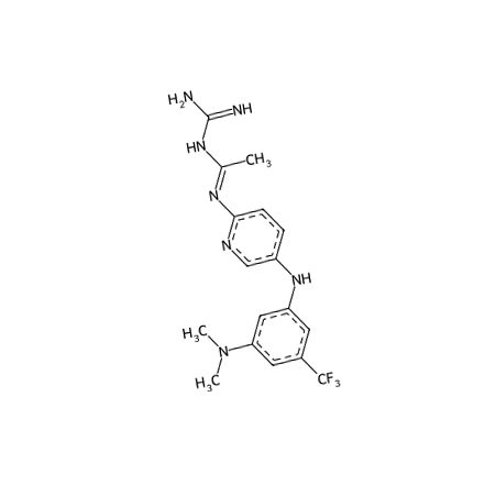 C/C(=N\c1ccc(Nc2cc(N(C)C)cc(C(F)(F)F)c2)cn1)NC(=N)N